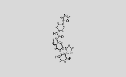 O=C(NC1CCC(c2nnco2)CC1)c1cnn2ccc(N3CCCC3c3cc(F)ccc3F)cc12